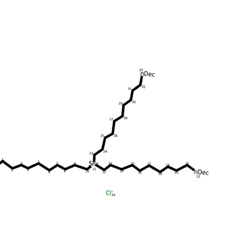 CCCCCCCCCCCCCCCCCCC[CH2][Sn+]([CH2]CCCCCCCCCCCCCCCCCCC)[CH2]CCCCCCCCCCCCCCCCCCC.[Cl-]